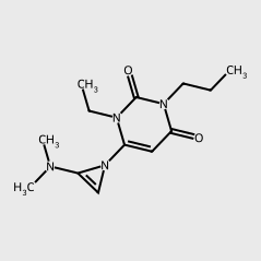 CCCn1c(=O)cc(N2C=C2N(C)C)n(CC)c1=O